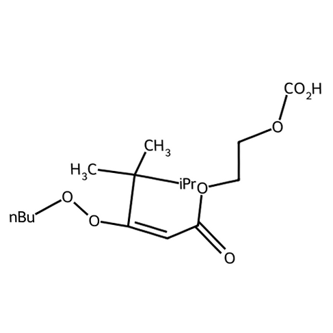 CCCCOOC(=CC(=O)OCCOC(=O)O)C(C)(C)C(C)C